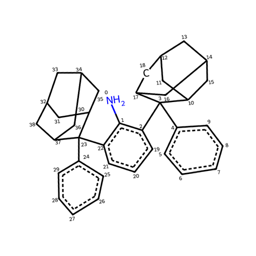 Nc1c(C2(c3ccccc3)C3CC4CC(C3)CC2C4)cccc1C1(c2ccccc2)C2CC3CC(C2)CC1C3